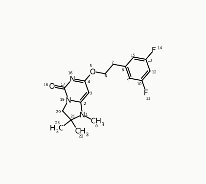 CN1c2cc(OCCc3cc(F)cc(F)c3)nc(=O)n2CC1(C)C